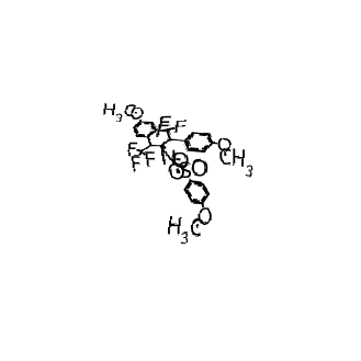 COc1ccc(C(C(=NOS(=O)(=O)c2ccc(OC)cc2)C(c2ccc(OC)cc2)C(F)(F)F)C(F)(F)F)cc1